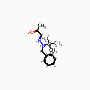 CC(=O)C=NN(Cc1ccccc1)[Si](C)(C)C